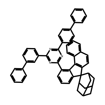 c1ccc(-c2ccc(-c3nc(-c4cccc(-c5ccccc5)c4)nc(-c4cccc5c4-c4c(ccc6ccccc46)C54C5CC6CC(C5)CC4C6)n3)cc2)cc1